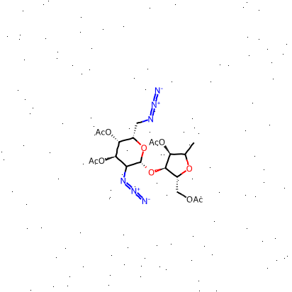 CC(=O)OC[C@H]1OC(C)[C@H](OC(C)=O)[C@@H]1O[C@H]1O[C@@H](CN=[N+]=[N-])[C@@H](OC(C)=O)[C@H](OC(C)=O)C1N=[N+]=[N-]